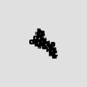 O=C(NCc1cn(-c2ccccc2Cl)c2cc(Cl)ccc2c1=O)c1ccc(Br)cc1